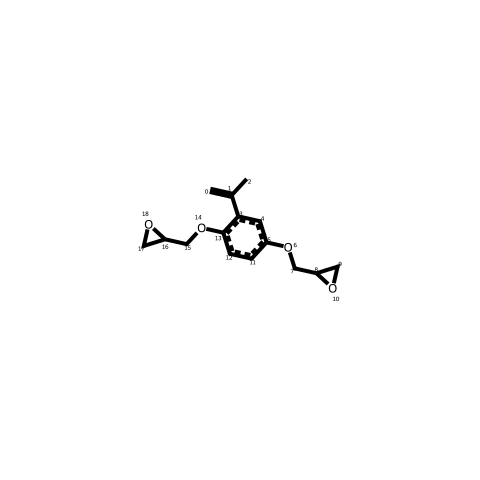 C=C(C)c1cc(OCC2CO2)ccc1OCC1CO1